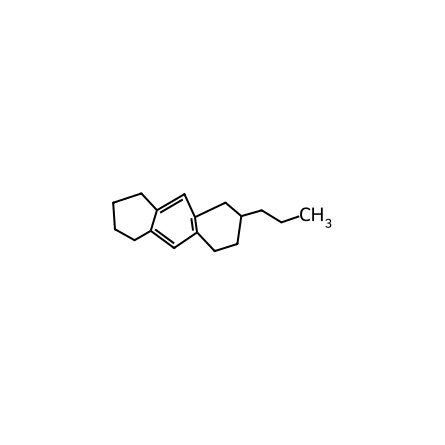 CCCC1CCc2cc3c(cc2C1)CCCC3